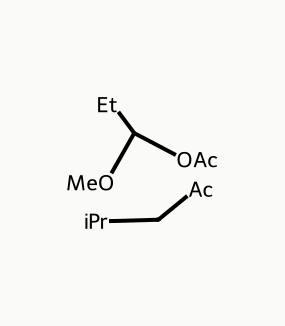 CC(=O)CC(C)C.CCC(OC)OC(C)=O